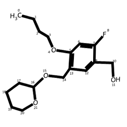 CCCCOc1cc(F)c(CO)cc1COC1CCCCO1